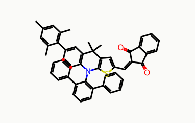 Cc1cc(C)c(-c2ccc3c(c2)C(C)(C)c2cc(C=C4C(=O)c5ccccc5C4=O)sc2N3c2c(-c3ccccc3)cccc2-c2ccccc2)c(C)c1